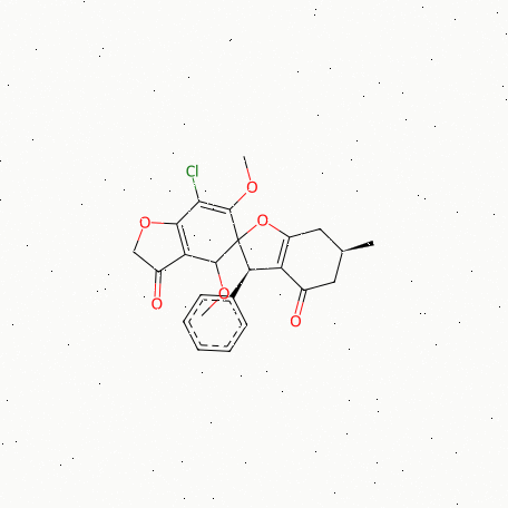 COC1=C(Cl)C2=C(C(=O)CO2)C(OC)C12OC1=C(C(=O)C[C@H](C)C1)[C@H]2c1ccccc1